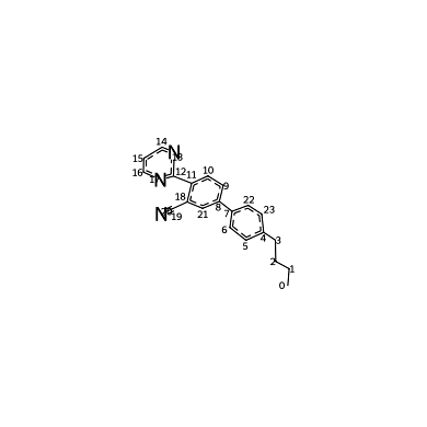 CCCCc1ccc(-c2ccc(-c3ncccn3)c(C#N)c2)cc1